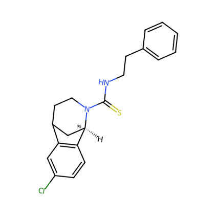 S=C(NCCc1ccccc1)N1CCC2C[C@@H]1c1ccc(Cl)cc12